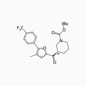 Cc1cc(C(=O)[C@@H]2CCCN(C(=O)OC(C)(C)C)C2)oc1-c1ccc(C(F)(F)F)cc1